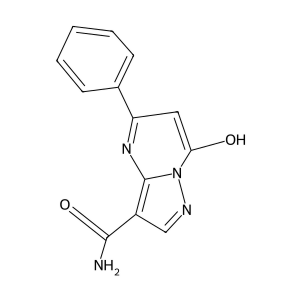 NC(=O)c1cnn2c(O)cc(-c3ccccc3)nc12